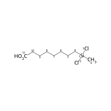 C[Si](Cl)(Cl)CCCCCCCC(=O)O